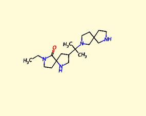 CCN1CCC2(CC(C(C)(C)N3CCC4(CCNC4)C3)CN2)C1=O